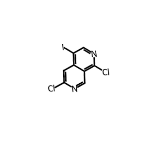 Clc1cc2c(I)cnc(Cl)c2cn1